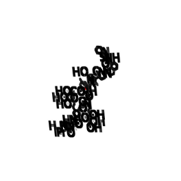 Cc1c(-c2ccc(N3CCc4cccc(C(=O)Nc5nc6ccccc6s5)c4C3)nc2C(=O)O)cnn1CC12CC3(C)CC(C)(C1)CC(OCCN(CC[C@@H](O)[C@H](O)[C@H](O)CO)C(=O)OCc1ccc(NC(=O)[C@H](C)NC(=O)[C@@H](N)C(C)C)cc1CC[C@@H]1O[C@H](C(=O)O)[C@@H](O)[C@H](O)[C@H]1O)(C3)C2